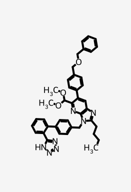 CCCCc1nc2cc(-c3ccc(COCc4ccccc4)cc3)c(C(OC)OC)nc2n1Cc1ccc(-c2ccccc2-c2nnn[nH]2)cc1